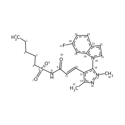 CCCCCS(=O)(=O)NC(=O)C=Cc1c(C)nn(C)c1-n1ccc2ccc(F)cc21